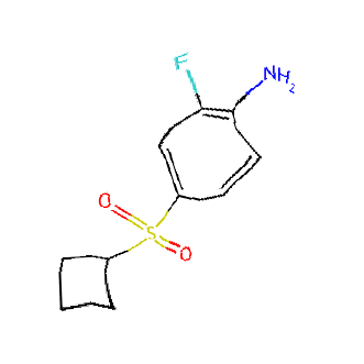 Nc1ccc(S(=O)(=O)C2CCC2)cc1F